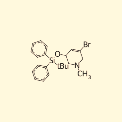 CN1CC(Br)=CC(O[Si](c2ccccc2)(c2ccccc2)C(C)(C)C)C1